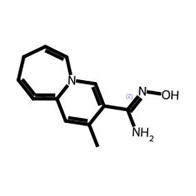 CC1=CC2=C=CCC=CN2C=C1/C(N)=N/O